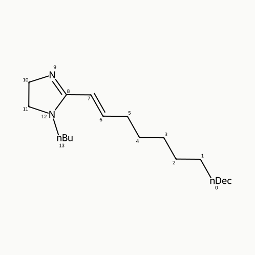 CCCCCCCCCCCCCCC/C=C/C1=NCCN1CCCC